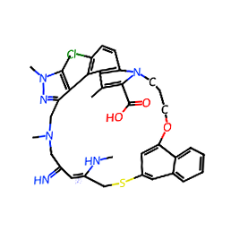 CN/C1=C\C(=N)CN(C)Cc2nn(C)c(C)c2-c2c(Cl)ccc3c2c(C)c(C(=O)O)n3CCCOc2cc(cc3ccccc23)SC1